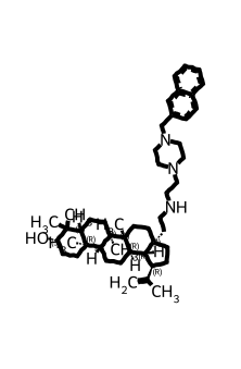 C=C(C)[C@@H]1CC[C@]2(CCNCCN3CCN(Cc4ccc5ccccc5c4)CC3)CC[C@]3(C)[C@H](CC[C@@H]4[C@@]5(C)CC[C@H](O)C(C)(C)[C@@H]5CC[C@]43C)[C@@H]12